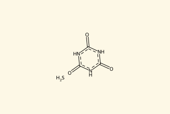 O=c1[nH]c(=O)[nH]c(=O)[nH]1.S